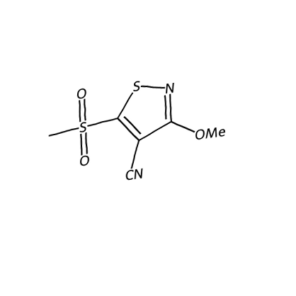 COc1nsc(S(C)(=O)=O)c1C#N